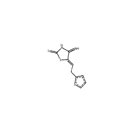 N=C1NC(=O)SC1=CCc1cccs1